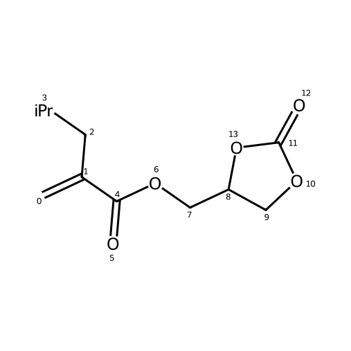 C=C(CC(C)C)C(=O)OCC1COC(=O)O1